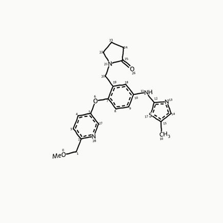 COCc1ccc(Oc2ccc(Nc3ncc(C)s3)cc2CN2CCCC2=O)cn1